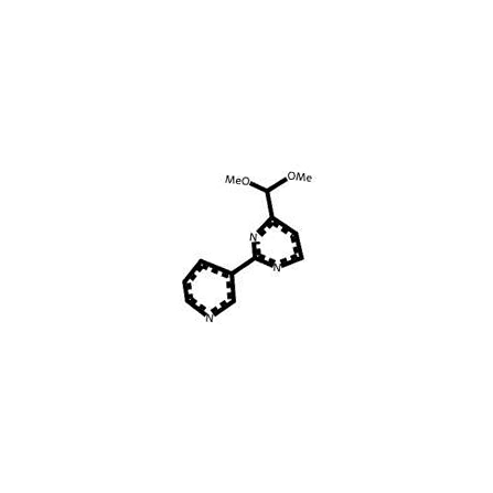 COC(OC)c1ccnc(-c2cccnc2)n1